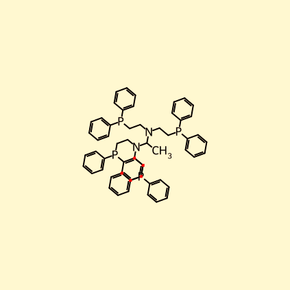 CC(N(CCP(c1ccccc1)c1ccccc1)CCP(c1ccccc1)c1ccccc1)N(CCP(c1ccccc1)c1ccccc1)CCP(c1ccccc1)c1ccccc1